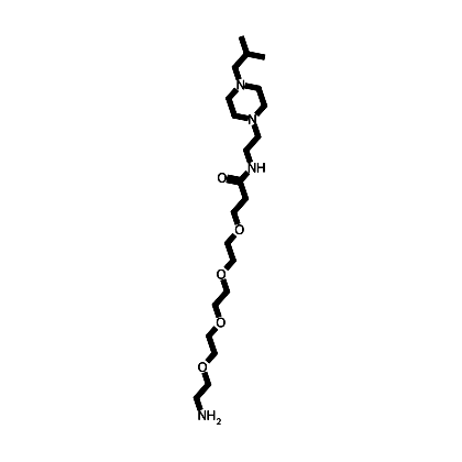 CC(C)CN1CCN(CCNC(=O)CCOCCOCCOCCOCCN)CC1